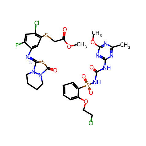 COC(=O)CSc1cc(/N=c2\sc(=O)n3n2CCCC3)c(F)cc1Cl.COc1nc(C)nc(NC(=O)NS(=O)(=O)c2ccccc2OCCCl)n1